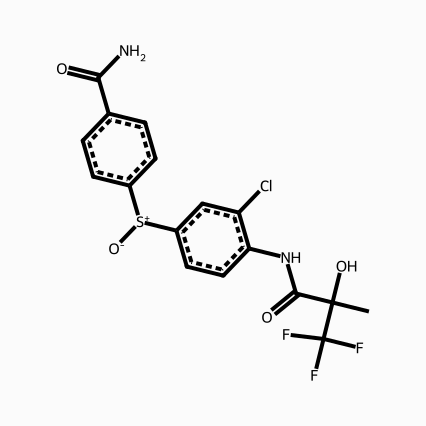 CC(O)(C(=O)Nc1ccc([S+]([O-])c2ccc(C(N)=O)cc2)cc1Cl)C(F)(F)F